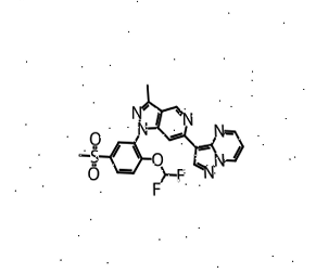 Cc1nn(-c2cc(S(C)(=O)=O)ccc2OC(F)F)c2cc(-c3cnn4cccnc34)ncc12